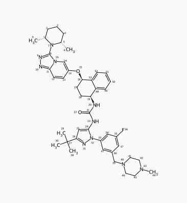 C[C@@H]1CCC[C@H](C)N1c1nnc2ccc(O[C@@H]3CC[C@H](NC(=O)Nc4cc(C(C)(C)C)nn4-c4cc(F)cc(CN5CCN(C)CC5)c4)c4ccccc43)cn12